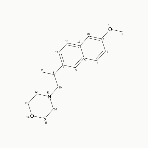 COc1ccc2cc(C(C)CN3CCOSC3)ccc2c1